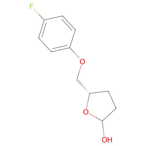 OC1CC[C@@H](COc2ccc(F)cc2)O1